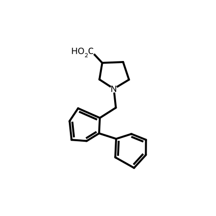 O=C(O)C1CCN(Cc2ccccc2-c2ccccc2)C1